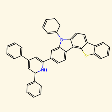 C1=CCCC(n2c3cc(C4=CC(c5ccccc5)=CC(c5ccccc5)N4)ccc3c3c4sc5ccccc5c4ccc32)=C1